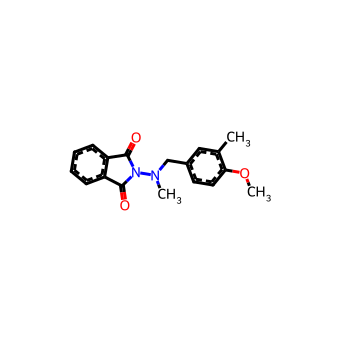 COc1ccc(CN(C)N2C(=O)c3ccccc3C2=O)cc1C